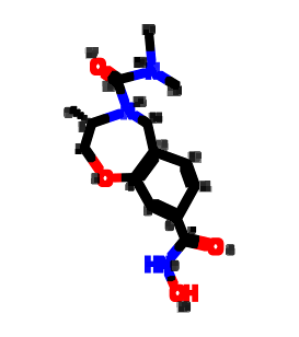 C[C@H]1COc2cc(C(=O)NO)ccc2CN1C(=O)N(C)C